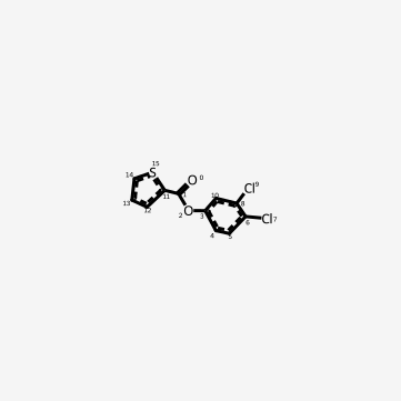 O=C(Oc1ccc(Cl)c(Cl)c1)c1cccs1